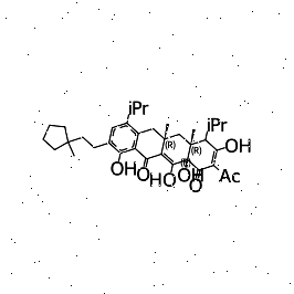 CC(=O)C1=C(O)C(C(C)C)[C@@]2(C)C[C@@]3(C)Cc4c(C(C)C)cc(CCC5(C)CCCC5)c(O)c4C(=O)C3=C(O)[C@@]2(O)C1=O